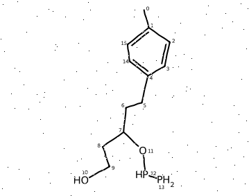 Cc1ccc(CCC(CCO)OPP)cc1